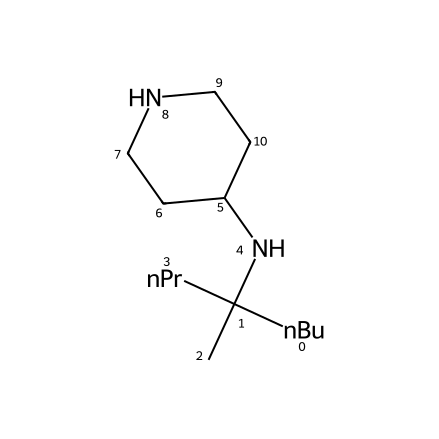 CCCCC(C)(CCC)NC1CCNCC1